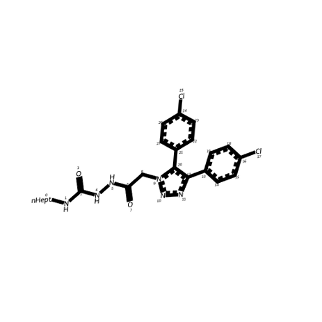 CCCCCCCNC(=O)NNC(=O)Cn1nnc(-c2ccc(Cl)cc2)c1-c1ccc(Cl)cc1